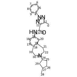 Cc1nn(-c2ccccc2)nc1C(=O)Nc1ccc2c(c1)CCN(C1CCC(C)C1)CC2